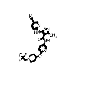 Cc1nsc(Nc2ccc(C#N)cn2)c1C(=O)Nc1ccc(OC2CCN(CC(F)(F)F)CC2)nc1